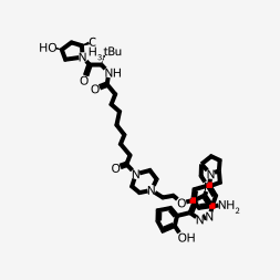 C[C@@H]1C[C@@H](O)CN1C(=O)[C@@H](NC(=O)CCCCCCCC(=O)N1CCN(CCOc2cccc(N3C4CCC3CN(c3cc(-c5ccccc5O)nnc3N)C4)c2)CC1)C(C)(C)C